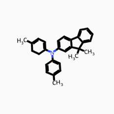 CC1=CC=C(N(c2ccc(C)cc2)c2ccc3c(c2)C(C)(C)c2ccccc2-3)CC1